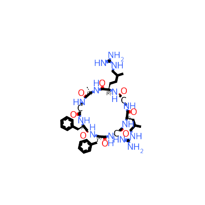 CC(CC[C@H]1NC(=O)CNC(=O)[C@@H](CC(C)CNC(=N)N)NC(=O)CNC(=O)[C@H](Cc2ccccc2)NC(=O)[C@@H](Cc2ccccc2)NC(=O)CNC(=O)[C@H](C)NC1=O)CNC(=N)N